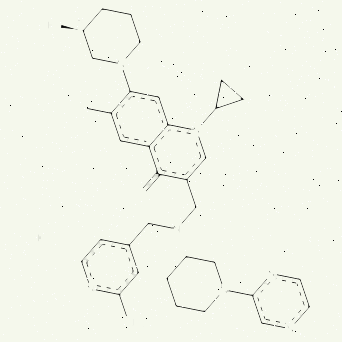 Cc1cc(CN(Cc2cn(C3CC3)c3cc(N4CCC[C@H](O)C4)c(F)cc3c2=O)[C@H]2CCCN(c3cnccn3)C2)ccn1.Cl